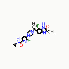 Cc1nc2ccc([C@@H](C)N3CCN(c4ccc(C(=O)NC5CC5)nc4F)CC3)c(F)c2[nH]c1=O